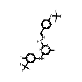 Fc1cc(Nc2ccc(F)c(C(F)(F)F)c2)nc(NN=Cc2ccc(OC(F)(F)F)cc2)n1